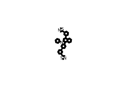 c1ccc(-n2c3cc(-c4cccc(-c5cncs5)c4)ccc3c3c4ccccc4c(-c4cccc(-c5cncs5)c4)cc32)cc1